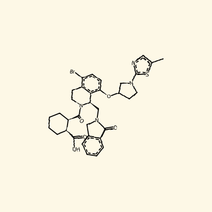 Cc1cnc(N2CCC(Oc3ccc(Br)c4c3[C@@H](CN3Cc5ccccc5C3=O)N(C(=O)[C@@H]3CCCC[C@@H]3C(=O)O)CC4)C2)s1